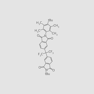 Cc1c(C)c(C(C)(C)C)c(C)c(C)c1N1C(=O)c2ccc(C(c3ccc4c(c3)C(=O)N(C(C)(C)C)C4=O)(C(F)(F)F)C(F)(F)F)cc2C1=O